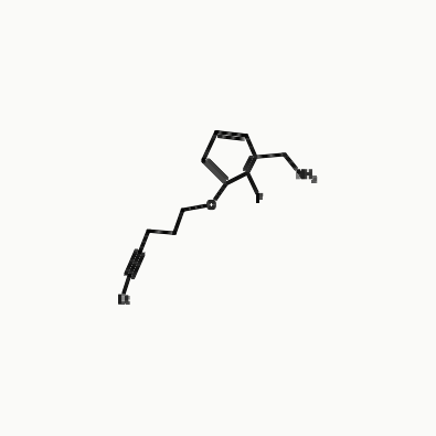 CCC#CCCCOc1cccc(CN)c1F